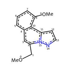 COCc1cc2cccc(OC)c2c2ccnn12